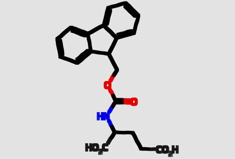 O=C(O)CCC(NC(=O)OCC1c2ccccc2-c2ccccc21)C(=O)O